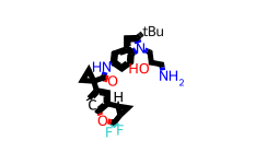 CC(C)(C)c1cc2cc(NC(=O)C3(c4ccc5c(c4)[C@H]4CC4C(F)(F)O5)CC3)ccc2n1C[C@@H](O)CN